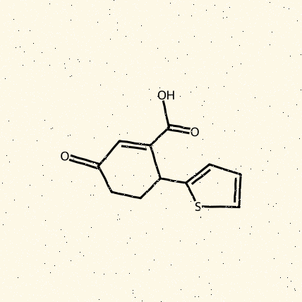 O=C1C=C(C(=O)O)C(c2cccs2)CC1